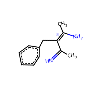 CC(=N)/C(Cc1ccccc1)=C(/C)N